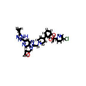 CC1(c2ccc(Cl)cn2)Oc2cccc(C3CCN(Cc4nc5cc(-c6nnc(C7CC7)[nH]6)ncc5n4CC4CCO4)CC3)c2O1